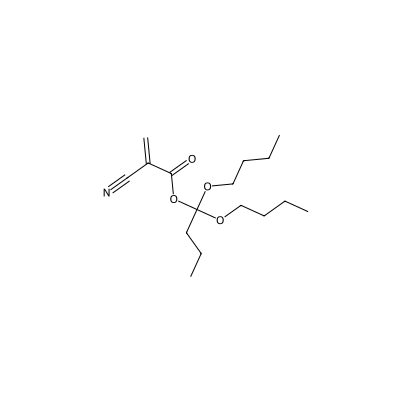 C=C(C#N)C(=O)OC(CCC)(OCCCC)OCCCC